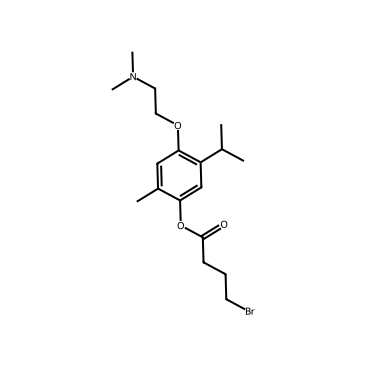 Cc1cc(OCCN(C)C)c(C(C)C)cc1OC(=O)CCCBr